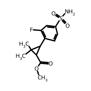 COC(=O)C1C(c2ccc(S(N)(=O)=O)cc2F)C1(C)C